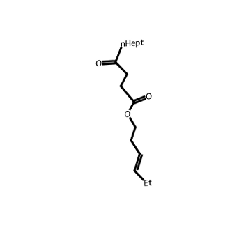 CC/C=C/CCOC(=O)CCC(=O)CCCCCCC